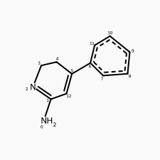 NC1=NCCC(c2ccccc2)=C1